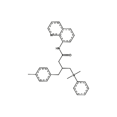 Cc1ccc(CC(CC(=O)Nc2cccc3cccnc23)C[Si](C)(C)c2ccccc2)cc1